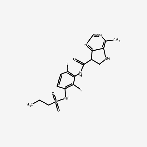 CCCS(=O)(=O)Nc1ccc(F)c(NC(=O)C2CNc3c(C)ncnc32)c1F